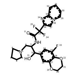 O=C(NC(CN1CCCC1)C(O)c1cc(F)c2c(c1)OCCO2)C(F)(F)c1cn2ccccc2n1